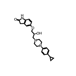 O=C1Cc2cc(OC[C@@H](O)CN3CCN(c4ccc(C5CC5)cc4)CC3)ccc2N1